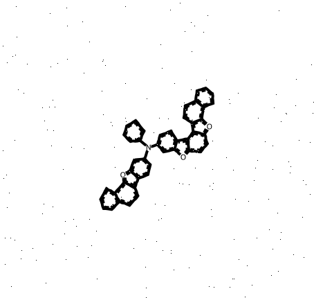 c1ccc(N(c2ccc3c(c2)oc2c4ccccc4ccc32)c2ccc3c(c2)oc2ccc4oc5c6ccccc6ccc5c4c23)cc1